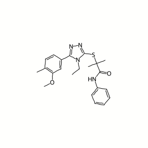 CCn1c(SC(C)(C)C(=O)Nc2ccccc2)nnc1-c1ccc(C)c(OC)c1